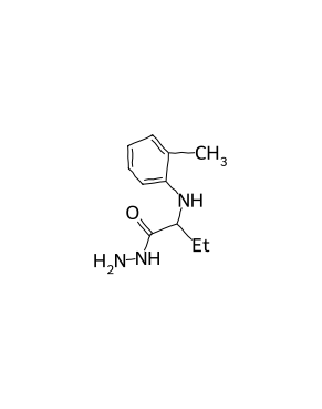 CCC(Nc1ccccc1C)C(=O)NN